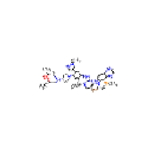 COc1cc(N2CCC(N3CC(C)OC(C)C3)CC2)c(-c2cnn(C)c2)cc1Nc1ncc(Br)c(Nc2ccc3nccnc3c2P(C)C)n1